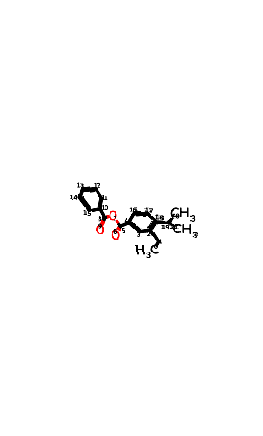 CCc1cc(C(=O)OC(=O)c2ccccc2)ccc1C(C)C